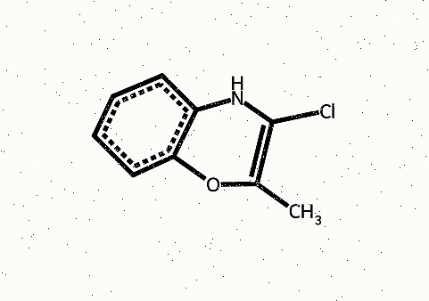 CC1=C(Cl)Nc2ccccc2O1